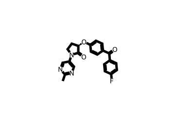 Cc1ncc(N2CC[C@@H](Oc3ccc(C(=O)c4ccc(F)cc4)cc3)C2=O)cn1